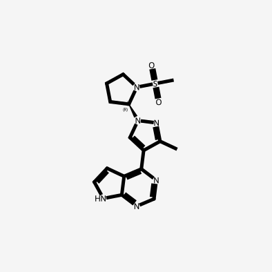 Cc1nn([C@H]2CCCN2S(C)(=O)=O)cc1-c1ncnc2[nH]ccc12